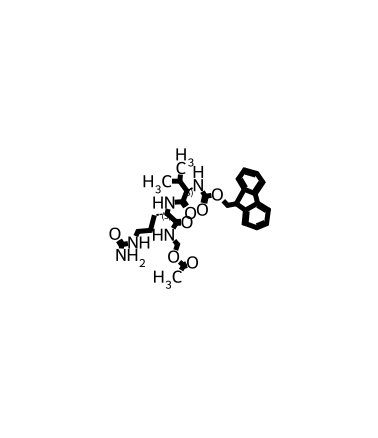 CC(=O)OCNC(=O)[C@H](CCCNC(N)=O)NC(=O)[C@@H](NC(=O)OCC1c2ccccc2-c2ccccc21)C(C)C